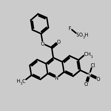 Cc1ccc2c(C(=O)Oc3ccccc3)c3cc(C)c(S(=O)(=O)Cl)cc3nc2c1.O=S(=O)(O)F